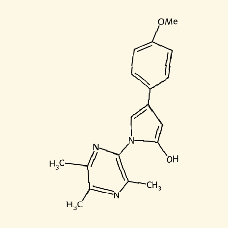 COc1ccc(-c2cc(O)n(-c3nc(C)c(C)nc3C)c2)cc1